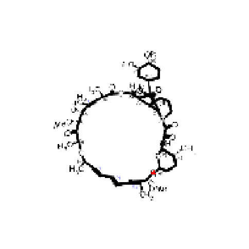 CO[C@H]1C[C@@H]2CC[C@@H](C)[C@@](O)(O2)C(=O)C(=O)N2CCCC3[C@H]2C(=O)O[C@@H](CC(=O)[C@H](C)/C=C(\C)[C@@H](O)[C@@H](OC)C(=O)[C@H](C)C[C@H](C)/C=C/C=C/C=C/1C)[C@H]3C[C@@H]1CC[C@@H](O)[C@H](O)C1